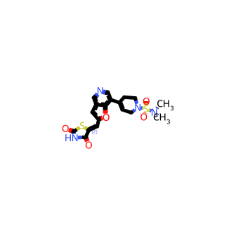 CN(C)S(=O)(=O)N1CC=C(c2cncc3cc(/C=C4\SC(=O)NC4=O)oc23)CC1